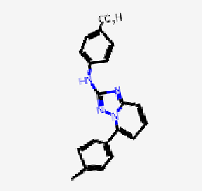 Cc1ccc(-c2cccc3nc(Nc4ccc(C(=O)O)cc4)nn23)cc1